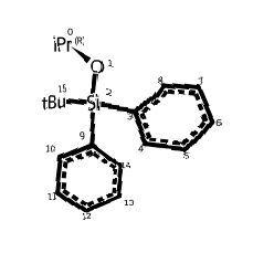 [CH2][C@H](C)O[Si](c1ccccc1)(c1ccccc1)C(C)(C)C